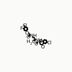 C=C(CCNC(=O)COc1ccc(Cl)c(F)c1)NC(=O)[C@H]1CC(=O)c2cc(Cl)ccc2O1